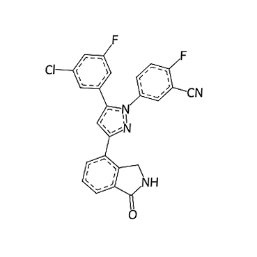 N#Cc1cc(-n2nc(-c3cccc4c3CNC4=O)cc2-c2cc(F)cc(Cl)c2)ccc1F